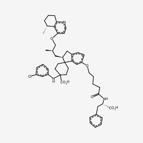 C[C@@H](COc1ccnc2c1[C@H](C)CCC2)C[C@H]1Cc2ccc(OCCCCC(=O)N[C@@H](Cc3ccccc3)C(=O)O)cc2C12CCC(Nc1cccc(Cl)c1)(C(=O)O)CC2